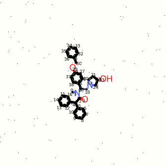 CN(C(=O)C(c1ccccc1)c1ccccc1)[C@H](CN1CC[C@H](O)C1)c1ccc(OCc2ccccc2)cc1